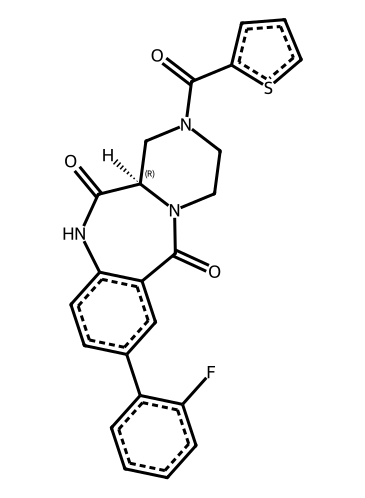 O=C1Nc2ccc(-c3ccccc3F)cc2C(=O)N2CCN(C(=O)c3cccs3)C[C@H]12